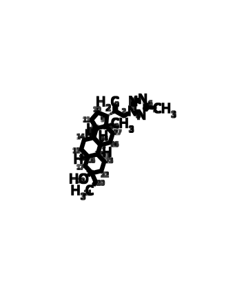 C=C(Cn1nnc(C)n1)[C@H]1CC[C@H]2[C@@H]3CC[C@H]4C[C@@](O)(CC)CC[C@@H]4[C@H]3CC[C@]12C